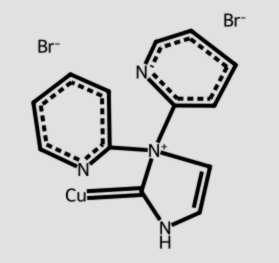 [Br-].[Br-].[Cu]=[C]1NC=C[N+]1(c1ccccn1)c1ccccn1